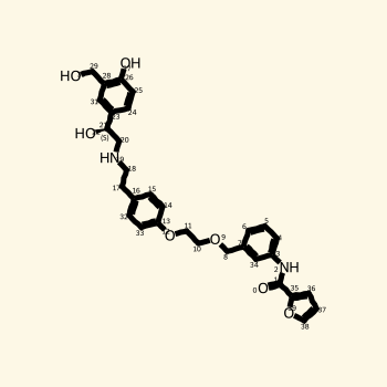 O=C(Nc1cccc(COCCOc2ccc(CCNC[C@@H](O)c3ccc(O)c(CO)c3)cc2)c1)c1ccco1